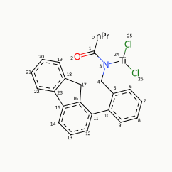 CCCC(=O)[N](Cc1ccccc1-c1cccc2c1Cc1ccccc1-2)[Ti]([Cl])[Cl]